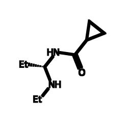 CCN[C@H](CC)NC(=O)C1CC1